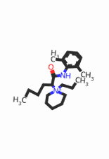 CCCCC(C(=O)Nc1c(C)cccc1C)[N+]1(CCC)CCCCC1